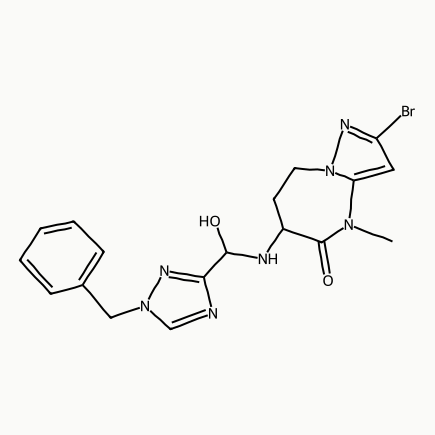 CN1C(=O)C(NC(O)c2ncn(Cc3ccccc3)n2)CCn2nc(Br)cc21